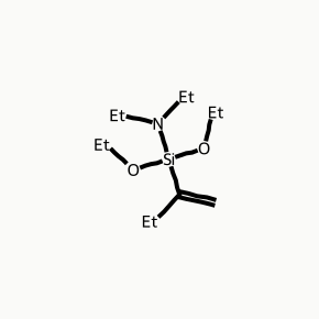 C=C(CC)[Si](OCC)(OCC)N(CC)CC